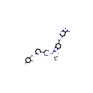 Cc1n[nH]c2ncc(NC(=O)c3ccc4c(c3)nc(CN3CC=C(c5cccc(OCc6ccc(Cl)cc6F)n5)CC3)n4C[C@@H]3CCO3)cc12